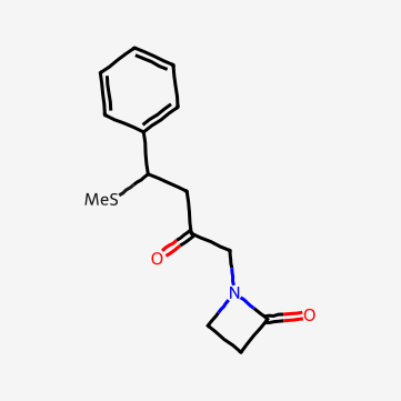 CSC(CC(=O)CN1CCC1=O)c1ccccc1